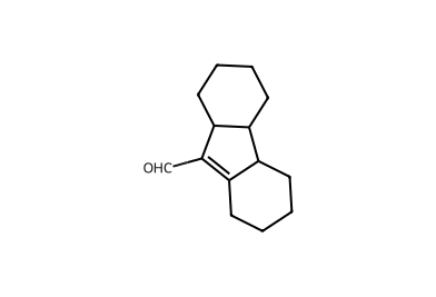 O=CC1=C2CCCCC2C2CCCCC12